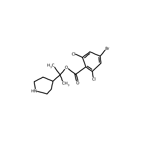 CC(C)(OC(=O)c1c(Cl)cc(Br)cc1Cl)C1CCNCC1